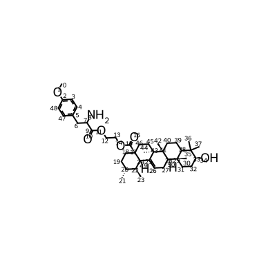 COc1ccc(CC(N)C(=O)OCCOC(=O)[C@]23CC[C@@H](C)[C@H](C)[C@H]2C2=CC[C@@H]4[C@@]5(C)CC[C@H](O)C(C)(C)C5CC[C@@]4(C)[C@]2(C)CC3)cc1